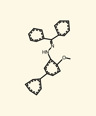 COc1ccc(-c2ccccc2)cc1NN=C(c1ccccc1)c1ccccc1